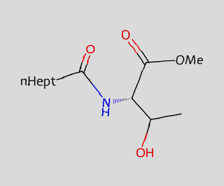 CCCCCCCC(=O)N[C@H](C(=O)OC)C(C)O